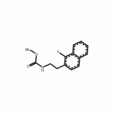 CC(C)(C)OC(=O)NCCc1ccc2ccccc2c1F